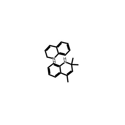 C1=Cc2ccccc2NC1.CC1=CC(C)(C)Nc2ccccc21